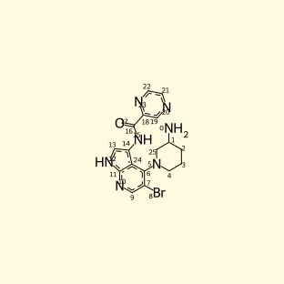 NC1CCCN(c2c(Br)cnc3[nH]cc(NC(=O)c4cnccn4)c23)C1